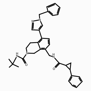 CC(C)(C)NC(=O)N1CCc2c(-c3cnn(Cc4ccccc4)c3)ccc(CNC(=O)C3CC3c3ccccc3)c2C1